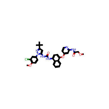 COCC(=O)Nc1cc(Oc2ccc(NC(=O)Nc3cc(C(C)(C)C)nn3-c3ccc(OC)c(Cl)c3)c3ccccc23)ccn1